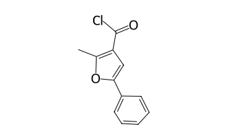 Cc1oc(-c2ccccc2)cc1C(=O)Cl